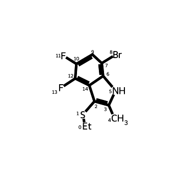 CCSc1c(C)[nH]c2c(Br)cc(F)c(F)c12